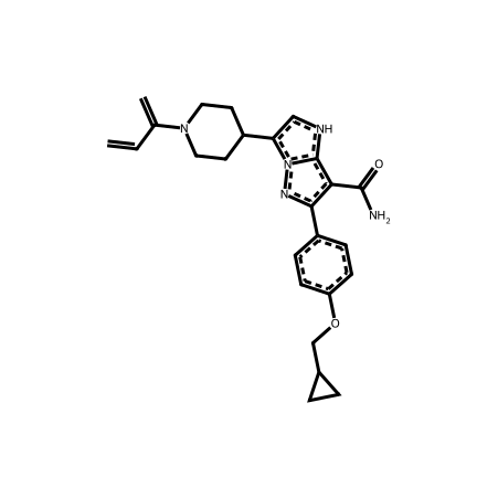 C=CC(=C)N1CCC(c2c[nH]c3c(C(N)=O)c(-c4ccc(OCC5CC5)cc4)nn23)CC1